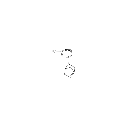 Cc1cccc(C2CC3=CCC2C3)c1